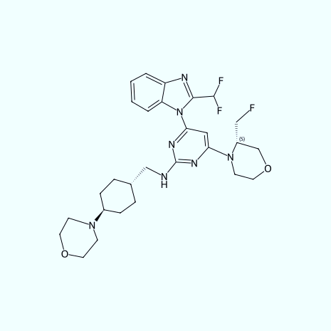 FC[C@@H]1COCCN1c1cc(-n2c(C(F)F)nc3ccccc32)nc(NC[C@H]2CC[C@H](N3CCOCC3)CC2)n1